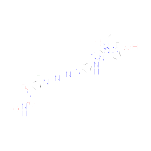 C=CCn1c(=O)c2cnc(Nc3ccc(N4CCN(C5CN(C6CN(c7cc8c(cc7F)C(=O)N(C7CCC(=O)NC7=O)C8)C6)C5)CC4)cc3)nc2n1-c1ccc2c(n1)[C@](O)(CC)CC2